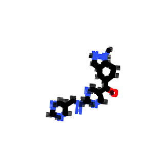 Cn1ncc2cc(C(=O)c3cnc(NCc4cncnc4)nc3)ccc21